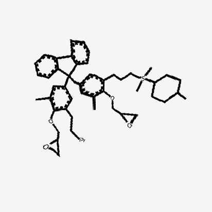 Cc1cc(C2(c3cc(C)c(OCC4CO4)c(CCC(C)C)c3)c3ccccc3-c3ccccc32)cc(CCCS(C)(C)C2CCC(C)CC2)c1OCC1CO1